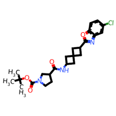 CC(C)(C)OC(=O)N1CCC(C(=O)NC2CC3(C2)CC(c2nc4cc(Cl)ccc4o2)C3)C1